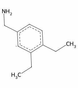 CCc1[c]c(CN)ccc1CC